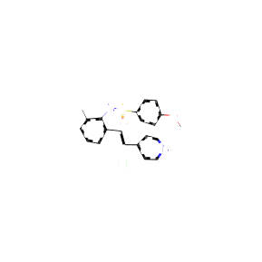 COc1ccc(S(=O)(=O)Nc2c(C)cccc2/C=C/c2ccncc2)cc1.Cl